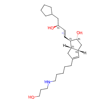 OCCCNCCCCCC1=C[C@H]2C[C@@H](O)[C@H](/C=C/[C@@H](O)CC3CCCC3)[C@H]2C1